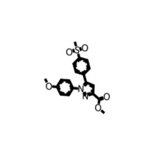 COC(=O)c1cc(-c2ccc(S(C)(=O)=O)cc2)n(-c2ccc(OC)cc2)n1